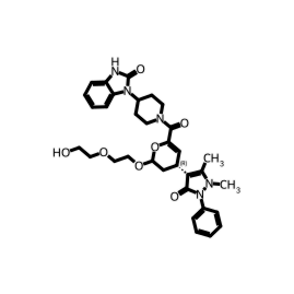 Cc1c([C@H]2C=C(C(=O)N3CCC(n4c(=O)[nH]c5ccccc54)CC3)OC(OCCOCCO)C2)c(=O)n(-c2ccccc2)n1C